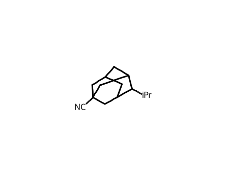 CC(C)C1C2CC3CC1CC(C#N)(C3)C2